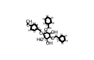 COc1ccc(CO[C@@H]2[C@@H](O)[C@H](O)[C@H](OCc3ccccc3)[C@H](O)[C@H]2OCc2ccccc2)cc1